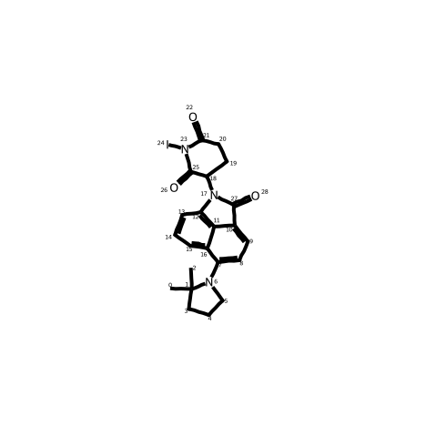 CC1(C)CCCN1c1ccc2c3c(cccc13)N(C1CCC(=O)N(I)C1=O)C2=O